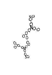 c1ccc(-c2ccc(N(c3ccc(-c4ccc(-c5ccccc5)c(-c5ccc(-c6ccc7c(-c8ccc(N(c9ccc(-c%10ccc(-c%11ccccc%11)c(-c%11ccccc%11)c%10)cc9)c9ccc(-c%10ccc%11sc%12ccccc%12c%11c%10)cc9)cc8)cccc7c6)cc5)c4)cc3)c3ccc(-c4ccc5sc6ccccc6c5c4)cc3)cc2)cc1